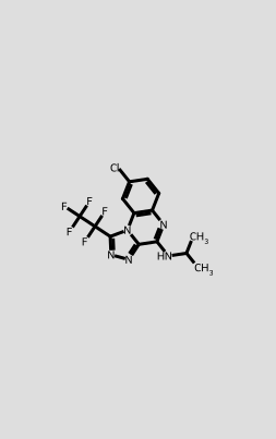 CC(C)Nc1nc2ccc(Cl)cc2n2c(C(F)(F)C(F)(F)F)nnc12